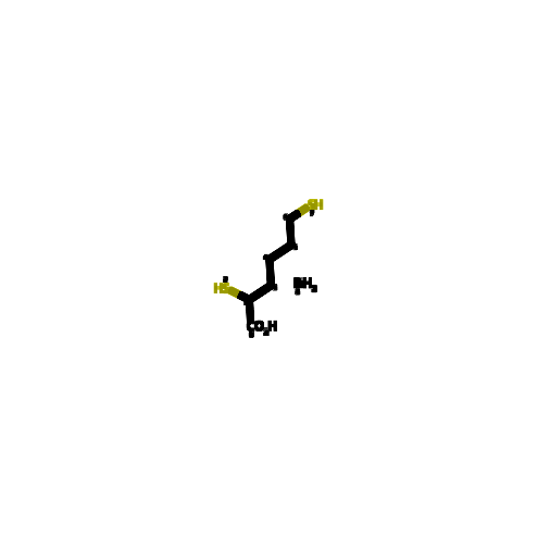 O=C(O)C(S)CCCCS.[BiH3]